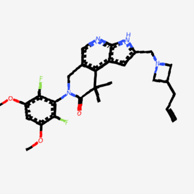 C=CCC1CN(Cc2cc3c4c(cnc3[nH]2)CN(c2c(F)c(OC)cc(OC)c2F)C(=O)C4(C)C)C1